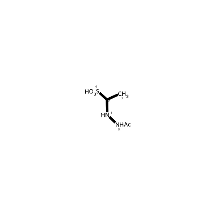 CC(=O)NNC(C)S(=O)(=O)O